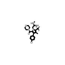 CNC(=N)Cn1c(C(=O)N2CCOCC2)c(-c2ccc(Cl)cc2)c(C)c1C(F)(F)F